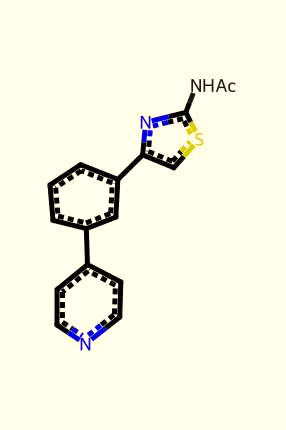 CC(=O)Nc1nc(-c2cccc(-c3ccncc3)c2)cs1